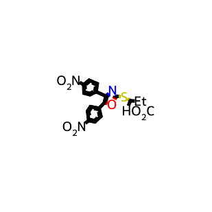 CCC(Sc1nc(-c2ccc([N+](=O)[O-])cc2)c(-c2ccc([N+](=O)[O-])cc2)o1)C(=O)O